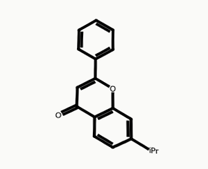 CC(C)c1ccc2c(=O)cc(-c3ccccc3)oc2c1